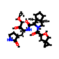 O=C(N[C@@H](C[C@@H]1CCNC1=O)C(=O)COC(F)(F)F)C1[C@H]2CCC[C@H]2CN1C(=O)C1CC2(CC2)CO1